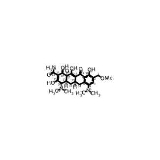 COCc1cc(N(C)C)c2c(c1O)C(=O)C1=C(O)[C@]3(O)C(=O)C(C(N)=O)=C(O)[C@@H](N(C)C)[C@@H]3C[C@@H]1C2